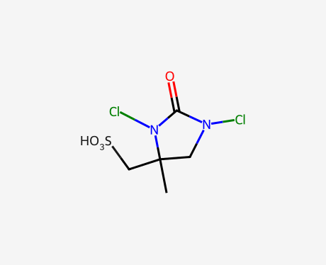 CC1(CS(=O)(=O)O)CN(Cl)C(=O)N1Cl